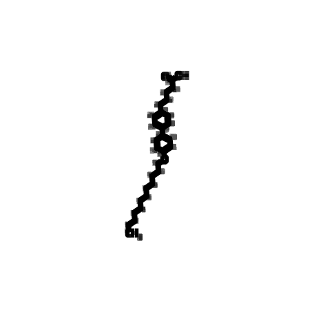 CCCCCCCCCCCCOc1ccc(-c2ccc(CCCCC(=O)O)cc2)cc1